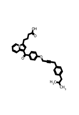 CC(C)Cc1ccc(CC#CCOc2ccc(C(=O)c3cc(CCCC(=O)O)n4ccccc34)cc2)cc1